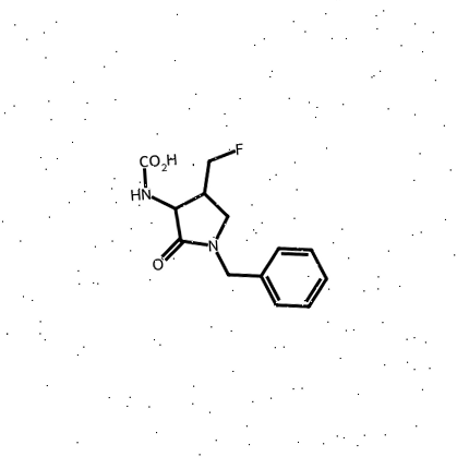 O=C(O)NC1C(=O)N(Cc2ccccc2)CC1CF